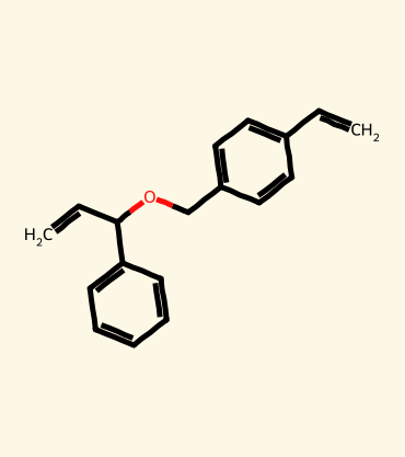 C=Cc1ccc(COC(C=C)c2ccccc2)cc1